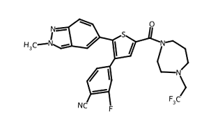 Cn1cc2cc(-c3sc(C(=O)N4CCCN(CC(F)(F)F)CC4)cc3-c3ccc(C#N)c(F)c3)ccc2n1